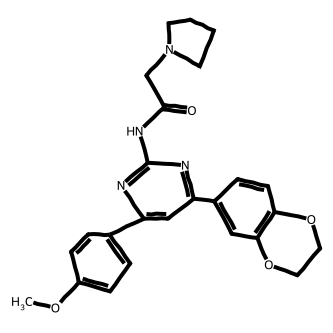 COc1ccc(-c2cc(-c3ccc4c(c3)OCCO4)nc(NC(=O)CN3CCCC3)n2)cc1